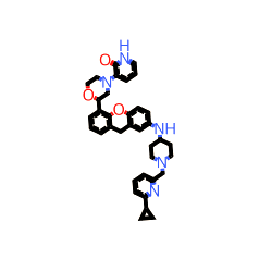 O=c1[nH]cccc1N1CCOC(c2cccc3c2Oc2ccc(NC4CCN(Cc5cccc(C6CC6)n5)CC4)cc2C3)C1